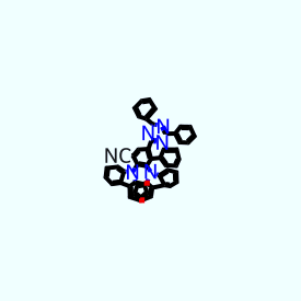 N#Cc1cc(-c2nc(-c3ccccc3)nc(-c3ccccc3)n2)c(-c2ccccc2)c(-n2c3ccccc3c3ccccc32)c1-n1c2ccccc2c2ccccc21